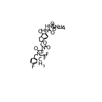 C[C@H](N(Cc1ccc(F)cc1)C(=O)CN1C[C@]2(CCC3C(=O)C(NC(=O)NS(=O)(=O)NCC4CC4)=CC=C32)OC1=O)C(F)(F)F